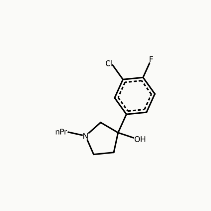 CCCN1CCC(O)(c2ccc(F)c(Cl)c2)C1